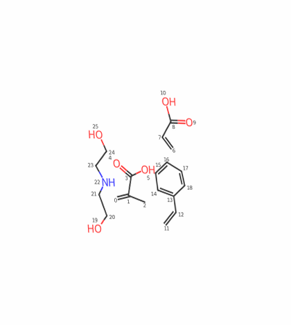 C=C(C)C(=O)O.C=CC(=O)O.C=Cc1ccccc1.OCCNCCO